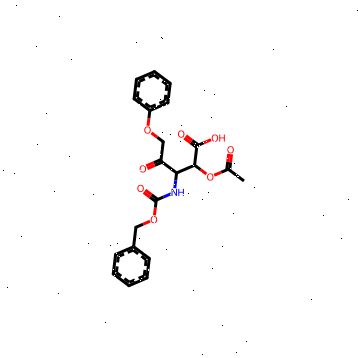 CC(=O)OC(C(=O)O)C(NC(=O)OCc1ccccc1)C(=O)COc1ccccc1